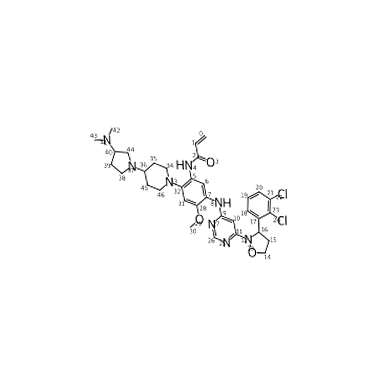 C=CC(=O)Nc1cc(Nc2cc(N3OCCC3c3cccc(Cl)c3Cl)ncn2)c(OC)cc1N1CCC(N2CCC(N(C)C)C2)CC1